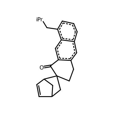 CC(C)Cc1cccc2cc3c(cc12)C(=O)C1(CC3)CC2C=CC1C2